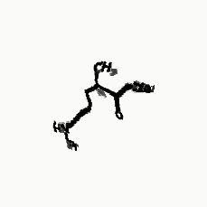 CC(C)NCC[C@@H](C)C(=O)C(C)(C)C